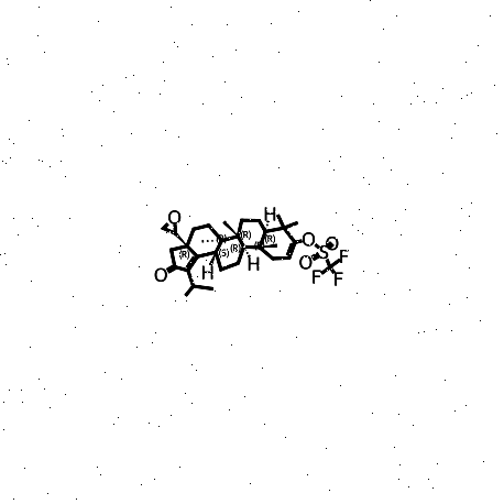 CC(C)C1=C2[C@H]3CC[C@@H]4[C@@]5(C)CC=C(OS(=O)(=O)C(F)(F)F)C(C)(C)[C@@H]5CC[C@@]4(C)[C@]3(C)CC[C@@]2(C2CO2)CC1=O